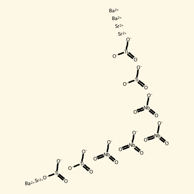 [Ba+2].[Ba+2].[Ba+2].[O]=[Nb](=[O])[O-].[O]=[Nb](=[O])[O-].[O]=[Nb](=[O])[O-].[O]=[Nb](=[O])[O-].[O]=[Ti]([O-])[O-].[O]=[Ti]([O-])[O-].[O]=[Ti]([O-])[O-].[O]=[Ti]([O-])[O-].[Sr+2].[Sr+2].[Sr+2]